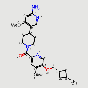 COc1cc(C(=O)N2CCC(c3cnc(N)cc3OC)CC2)ncc1OC[C@H]1C[C@H](C(F)(F)F)C1